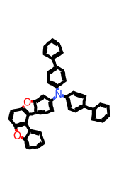 c1ccc(-c2ccc(N(c3ccc(-c4ccccc4)cc3)c3ccc4c(c3)oc3ccc5oc6ccccc6c5c34)cc2)cc1